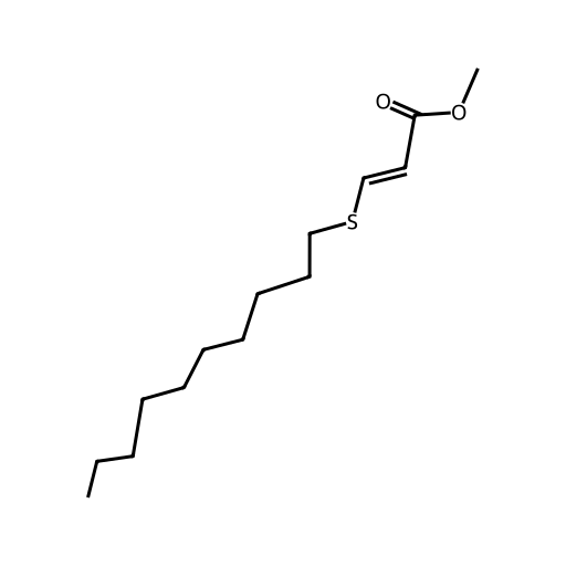 CCCCCCCCCCS/C=C/C(=O)OC